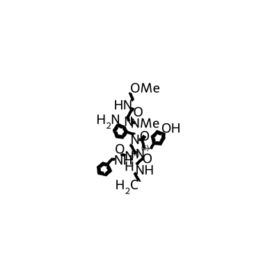 C=CCNCC(=O)N1[C@@H](NC(=O)NCc2ccccc2)CN(Cc2cccc(N)c2N(CC(=O)NCCOC)NC)C(=O)[C@@H]1Cc1ccc(O)cc1